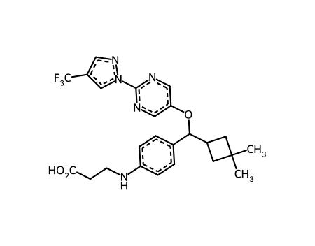 CC1(C)CC(C(Oc2cnc(-n3cc(C(F)(F)F)cn3)nc2)c2ccc(NCCC(=O)O)cc2)C1